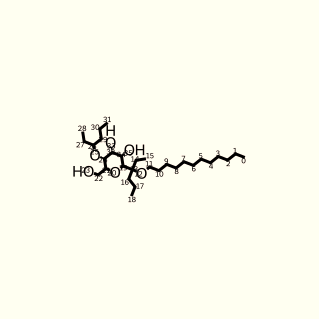 CCCCCCCCCCCCOC(CC)(CCC)C1OC(CO)[C@@H](OC(CC)CCC)[C@H](O)[C@H]1O